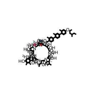 [2H]c1c([2H])c([C@]([2H])(O)[C@@]([2H])(O)[C@]2([2H])NC(=O)[C@@]3(C)N(C(=O)[C@](C)([C@]([2H])(O)C([2H])([2H])C)NC(=O)[C@@]([2H])(NC(=O)c4ccc(-c5ccc(-c6ccc(OC(C)CC(C)CC)cc6C)cc5C)cc4C)C(C)[C@@H](O)[C@@H](OO)NC(=O)[C@@H]4[C@@H](O)[C@@](C)(C(C)C)C(C)N4C(=O)[C@H]([C@H](O)CC)NC2=O)C([2H])([2H])[C@]([2H])(O)C3([2H])[2H])c(C)c(C)c1O